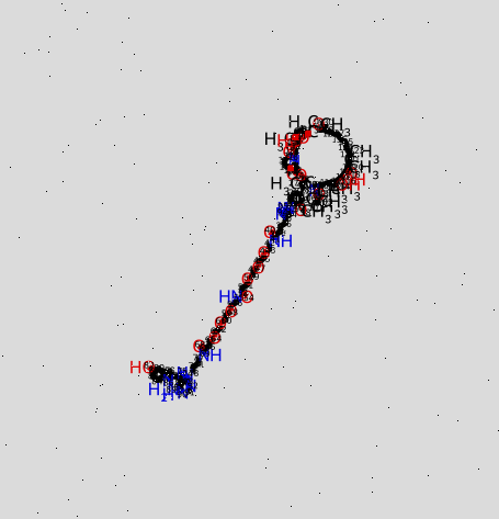 CO[C@H]1C[C@@H]2CC[C@@H](C)[C@@](O)(O2)C(=O)C(=O)N2CCCC[C@H]2C(=O)O[C@H]([C@H](C)C[C@@H]2CC[C@H](n3cc(CCCC(=O)NCCOCCOCCOCCC(=O)NCCOCCOCCOCCC(=O)NCCCCn4nc(-c5cc6cc(O)ccc6[nH]5)c5c(N)ncnc54)nn3)[C@H](OC)C2)C/C(=N/OC(C)(C)C)[C@H](C)/C=C(\C)[C@@H](O)[C@@H](O)C(=O)[C@H](C)C[C@H](C)/C=C/C=C/C=C/1C